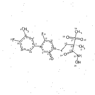 Cc1cc(-c2cc(=O)n(CC[C@](C)(C(=O)NO)S(C)(=O)=O)cc2F)ccc1F